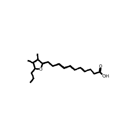 CCCC1OC(CCCCCCCCCCC(=O)O)C(C)C1C